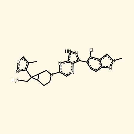 Cc1conc1C1(CN)C2CCN(c3cnc4c(-c5ccc6nn(C)cc6c5Cl)n[nH]c4n3)CC21